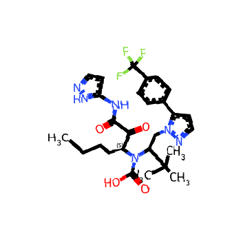 CCCC[C@@H](C(=O)C(=O)Nc1ccn[nH]1)N(C(=O)O)C(Cn1nccc1-c1ccc(C(F)(F)F)cc1)C(C)(C)C